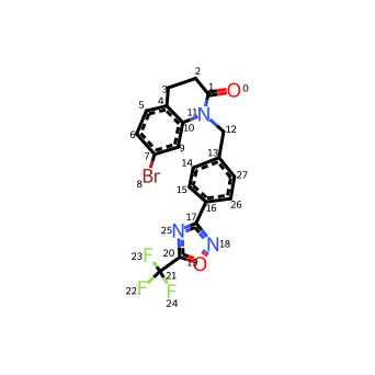 O=C1CCc2ccc(Br)cc2N1Cc1ccc(-c2noc(C(F)(F)F)n2)cc1